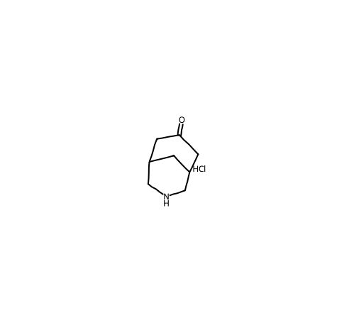 Cl.O=C1CC2CNCC(C1)C2